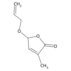 C=CCOC1C=C(C)C(=O)O1